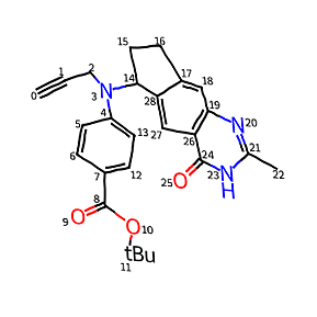 C#CCN(c1ccc(C(=O)OC(C)(C)C)cc1)C1CCc2cc3nc(C)[nH]c(=O)c3cc21